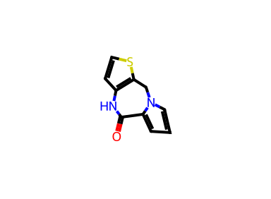 O=C1Nc2ccsc2Cn2cccc21